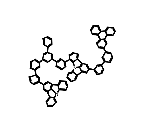 c1ccc(-c2cc(-c3cccc(-c4cccc(-c5cc6c7ccccc7n7c8ccccc8c(c5)c67)c4)c3)cc(-c3cccc(-c4cccc5c6cc(-c7cccc(-c8cccc(-c9ccc%10c%11ccccc%11c%11ccccc%11c%10c9)c8)c7)cc7c8ccccc8n(c45)c76)c3)c2)cc1